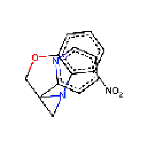 O=[N+]([O-])c1cccc2c1N1CC1(c1ccccn1)CO2